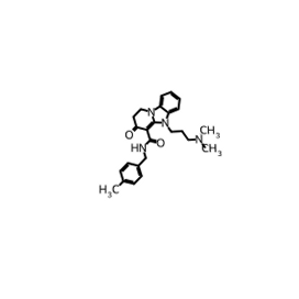 Cc1ccc(CNC(=O)C2=C3N(CCCN(C)C)c4ccccc4N3CCC2=O)cc1